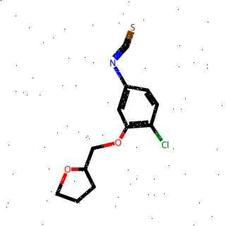 S=C=Nc1ccc(Cl)c(OCC2CCCO2)c1